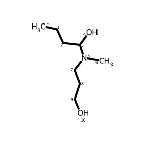 CCCC(O)N(C)CCCO